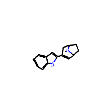 CN1C2C=C(c3cc4ccccc4[nH]3)CC1CC2